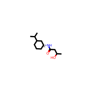 CC(O)CC(=O)N[C@@H]1CCCC(C(C)C)C1